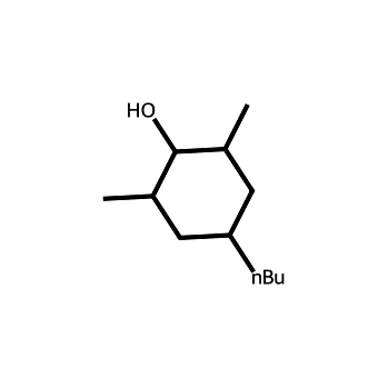 CCCCC1CC(C)C(O)C(C)C1